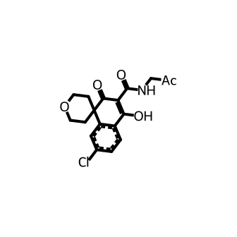 CC(=O)CNC(=O)C1=C(O)c2ccc(Cl)cc2C2(CCOCC2)C1=O